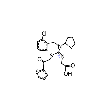 O=C(O)C/N=C(\SCC(=O)c1cccs1)N(Cc1ccccc1Cl)C1CCCC1